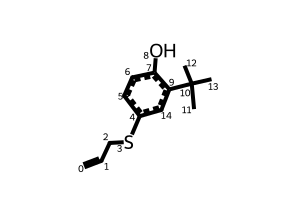 C=CCSc1ccc(O)c(C(C)(C)C)c1